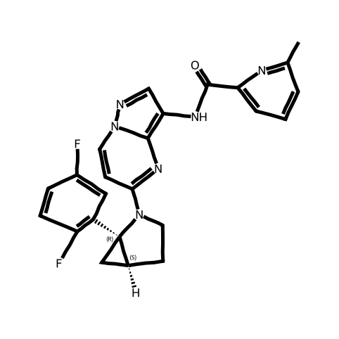 Cc1cccc(C(=O)Nc2cnn3ccc(N4CC[C@H]5C[C@]54c4cc(F)ccc4F)nc23)n1